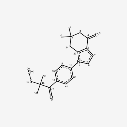 CC1(C)CC(=O)c2ccn(-c3ccc(C(=O)C(C)(C)SS)cc3)c2C1